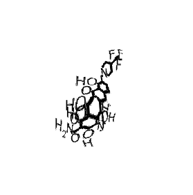 C[C@H]1c2ccc(CN3CC=C(C(F)(F)F)CC3)c(O)c2C(=O)C2=C(O)[C@]3(O)C(=O)C(C(N)=O)=C(O)[C@@H](N(C)C)[C@@H]3[C@@H](O)[C@@H]21